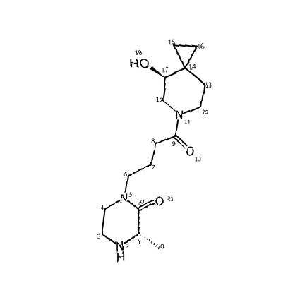 C[C@@H]1NCCN(CCCC(=O)N2CCC3(CC3)[C@H](O)C2)C1=O